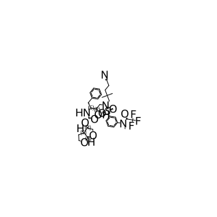 CN(C(=O)C(F)(F)F)c1cccc(S(=O)(=O)N(C[C@@H](O)[C@H](Cc2ccccc2)NC(=O)O[C@H]2CO[C@H]3OCC[C@H]32)CC(C)(C)CCC#N)c1